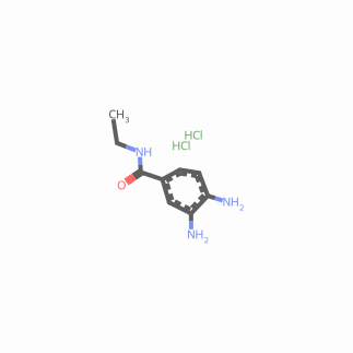 CCNC(=O)c1ccc(N)c(N)c1.Cl.Cl